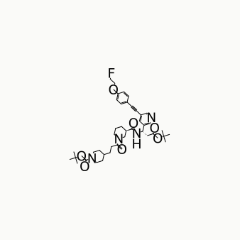 CC(C)(C)OC(=O)C[C@H](NC(=O)[C@@H]1CCCN(C(=O)CCC2CCN(C(=O)OC(C)(C)C)CC2)C1)c1cncc(C#Cc2ccc(OCCF)cc2)c1